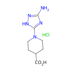 Cl.Nc1n[nH]c(N2CCC(C(=O)O)CC2)n1